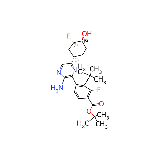 CC(C)(C)OC(=O)c1ccc(-c2nc([C@H]3CC[C@H](O)[C@@H](F)C3)cnc2N)c(C(C)(C)C)c1F